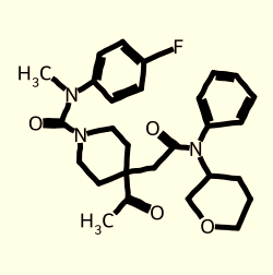 CC(=O)C1(CC(=O)N(c2ccccc2)C2CCCOC2)CCN(C(=O)N(C)c2ccc(F)cc2)CC1